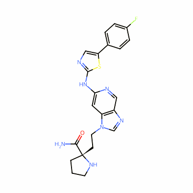 NC(=O)[C@@]1(CCn2cnc3cnc(Nc4ncc(-c5ccc(F)cc5)s4)cc32)CCCN1